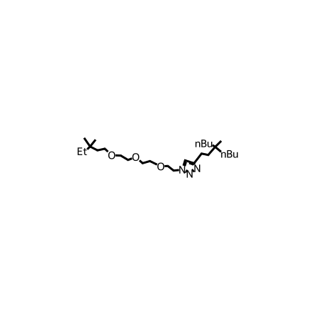 CCCCC(C)(CCCC)CCc1cn(CCOCCOCCOCCC(C)(C)CC)nn1